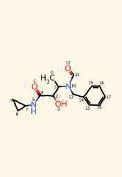 CC(C(O)C(=O)NC1CC1)N(C=O)Cc1ccccc1